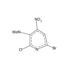 CNc1c([N+](=O)[O-])cc(Br)nc1Cl